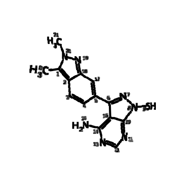 Cc1c2ccc(-c3nn(S)c4ncnc(N)c34)cc2nn1C